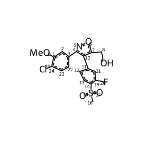 COc1cc(-c2noc(CO)c2-c2ccc(S(C)(=O)=O)c(F)c2)ccc1Cl